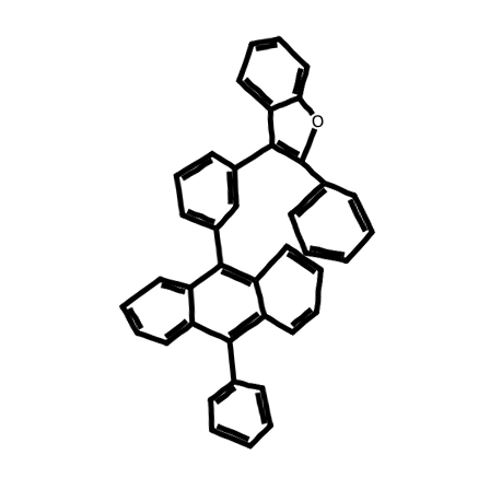 c1ccc(-c2oc3ccccc3c2-c2cccc(-c3c4ccccc4c(-c4ccccc4)c4ccccc34)c2)cc1